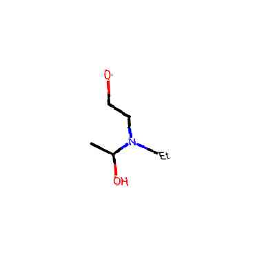 CCN(CC[O])C(C)O